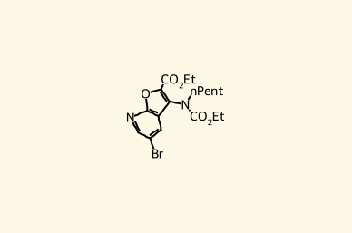 CCCCCN(C(=O)OCC)c1c(C(=O)OCC)oc2ncc(Br)cc12